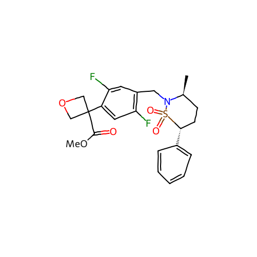 COC(=O)C1(c2cc(F)c(CN3[C@@H](C)CC[C@H](c4ccccc4)S3(=O)=O)cc2F)COC1